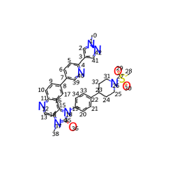 Cn1cc(-c2ccc(-c3ccc4ncc5c(c4c3)n(-c3ccc(C4CCN(S(C)(=O)=O)CC4)cc3)c(=O)n5C)cn2)cn1